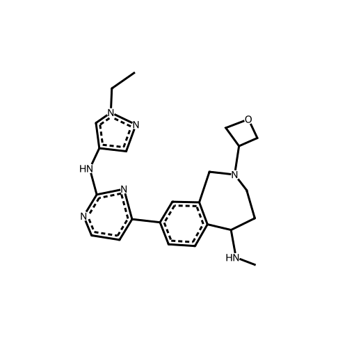 CCn1cc(Nc2nccc(-c3ccc4c(c3)CN(C3COC3)CCC4NC)n2)cn1